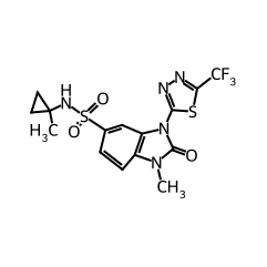 Cn1c(=O)n(-c2nnc(C(F)(F)F)s2)c2cc(S(=O)(=O)NC3(C)CC3)ccc21